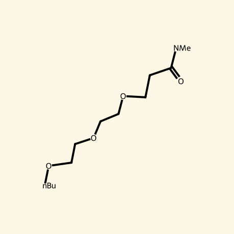 CCCCOCCOCCOCCC(=O)NC